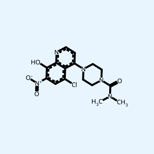 CN(C)C(=O)N1CCN(c2ccnc3c(O)c([N+](=O)[O-])cc(Cl)c23)CC1